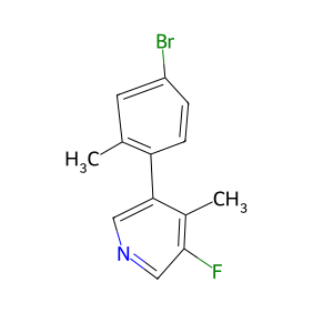 Cc1cc(Br)ccc1-c1cncc(F)c1C